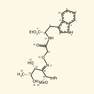 CCOC(=O)[C@H](Cc1c[nH]c2ccccc12)NC(=O)CO/N=C(/[C@@H](OC)C(C)C)[C@@H](O)[C@@H](C)O